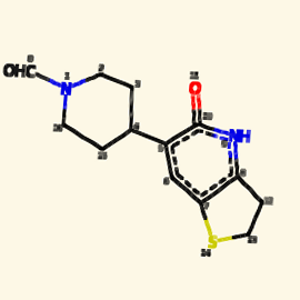 O=CN1CCC(c2cc3c([nH]c2=O)CCS3)CC1